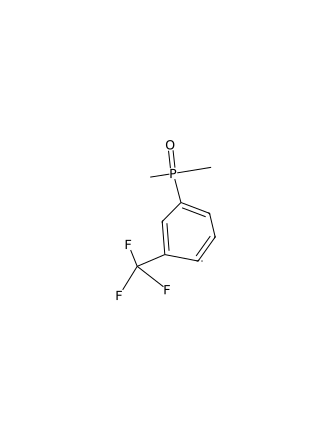 CP(C)(=O)c1cc[c]c(C(F)(F)F)c1